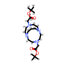 CC(C)(C)OC(=O)CN1CCN2CCCN(CC1)CCN(CC(=O)OC(C)(C)C)CC2